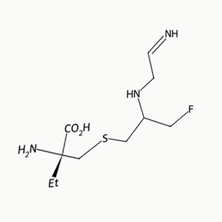 CC[C@](N)(CSCC(CF)NCC=N)C(=O)O